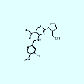 COc1ccc(CNc2nc(N3CCCC3CO)nnc2C(=O)O)cc1Cl